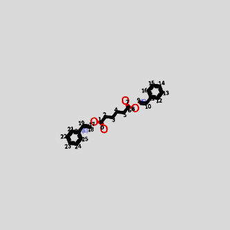 O=C(CCCCC(=O)O/C=C/c1ccccc1)O/C=C/c1ccccc1